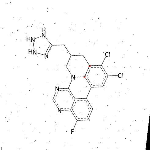 Fc1ccc(-c2ccc(Cl)c(Cl)c2)c2c(N3CCCC(CC4=NNNN4)C3)ncnc12